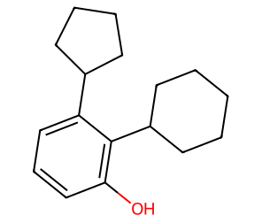 Oc1cccc(C2CCCC2)c1C1CCCCC1